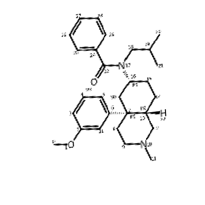 COc1cccc([C@@]23CCN(C)C[C@H]2CC[C@@H](N(CC(C)C)C(=O)c2ccccc2)C3)c1